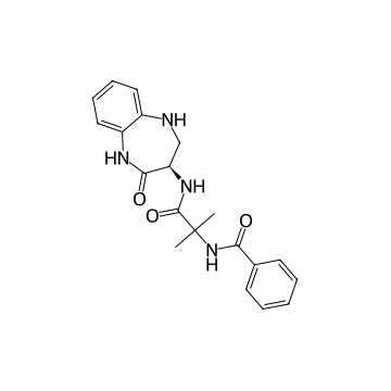 CC(C)(NC(=O)c1ccccc1)C(=O)N[C@@H]1CNc2ccccc2NC1=O